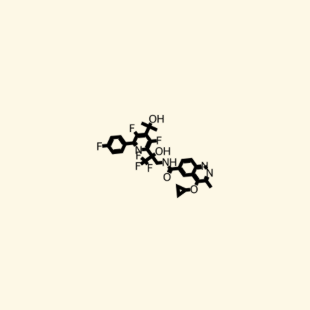 Cc1nnc2ccc(C(=O)NCC(O)(c3nc(-c4ccc(F)cc4)c(F)c(C(C)(C)O)c3F)C(F)(F)F)cc2c1OC1CC1